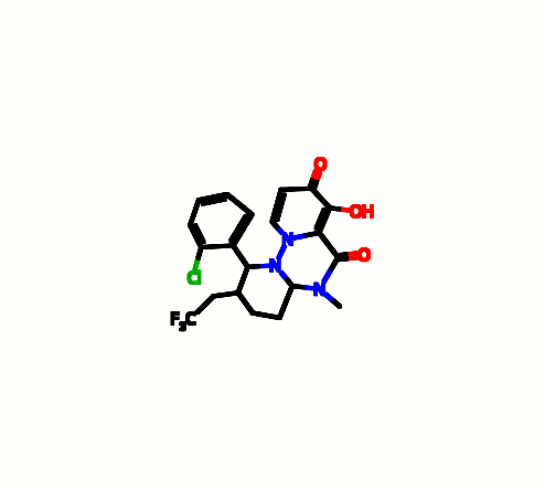 CN1C(=O)c2c(O)c(=O)ccn2N2C(c3ccccc3Cl)C(CC(F)(F)F)CCC12